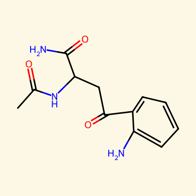 CC(=O)NC(CC(=O)c1ccccc1N)C(N)=O